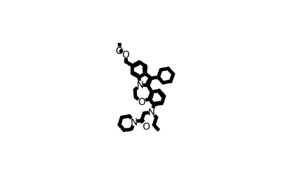 CCCN(CC(=O)N1CCCCC1)c1cccc2c1OCCn1c-2c(C2CCCCC2)c2ccc(COOC)cc21